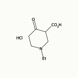 CCN1CCC(=O)C(C(=O)O)C1.Cl